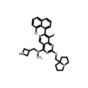 CN(CC1CNC1)c1nc(OCC23CCCN2CCC3)nc2c(F)c(-c3cccc4cccc(Cl)c34)ncc12